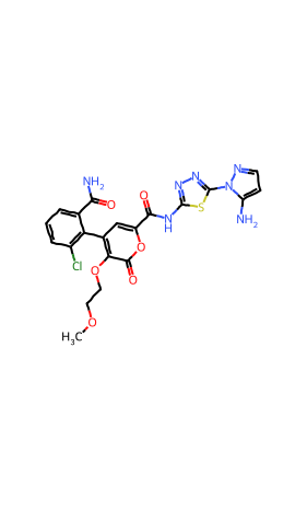 COCCOc1c(-c2c(Cl)cccc2C(N)=O)cc(C(=O)Nc2nnc(-n3nccc3N)s2)oc1=O